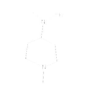 CCCN(I)C1CCN(C)CC1